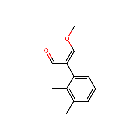 COC=C(C=O)c1cccc(C)c1C